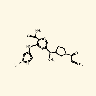 C=CC(=O)N1CCC(N(C)c2cnc(C(N)=O)c(Nc3cnn(C)c3)n2)C1